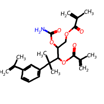 C=C(C)C(=O)OCC(OC(N)=O)C(OC(=O)C(=C)C)C(C)(C)c1cccc(C(=C)C)c1